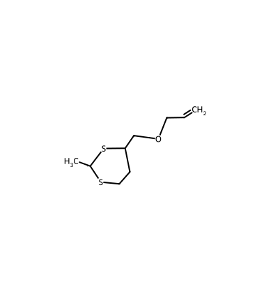 C=CCOCC1CCS[C](C)S1